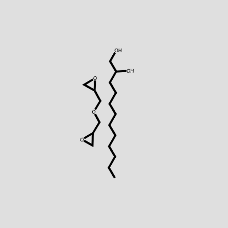 C(OCC1CO1)C1CO1.CCCCCCCCCCC(O)CO